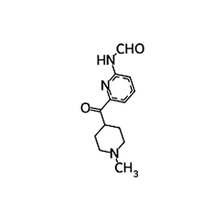 CN1CCC(C(=O)c2cccc(NC=O)n2)CC1